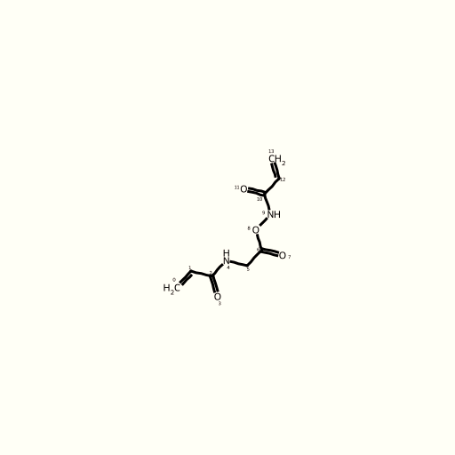 C=CC(=O)NCC(=O)ONC(=O)C=C